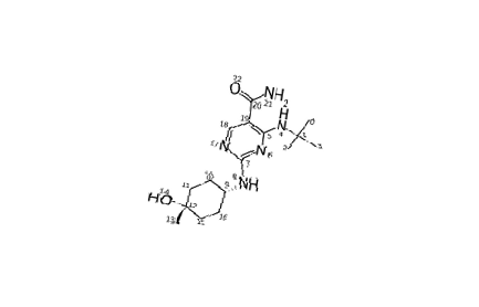 CC(C)(C)Nc1nc(N[C@H]2CC[C@@](C)(O)CC2)ncc1C(N)=O